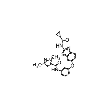 Cc1cc(C(=O)Nc2cccc(Oc3ccc4nc(NC(=O)C5CC5)sc4c3)c2)n(C)n1